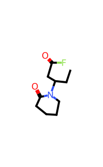 CCC(CC(=O)F)N1CCCCC1=O